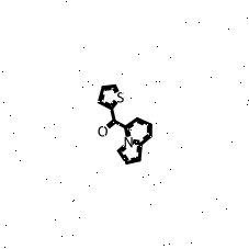 O=C(c1cccs1)c1cccc2cccn12